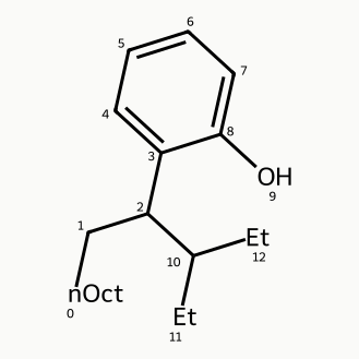 CCCCCCCCCC(c1ccccc1O)C(CC)CC